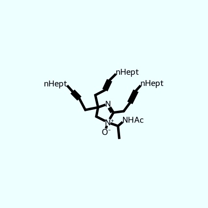 CCCCCCCC#CCC1=NC(CC#CCCCCCCC)(CC#CCCCCCCC)C[N+]1([O-])C(C)NC(C)=O